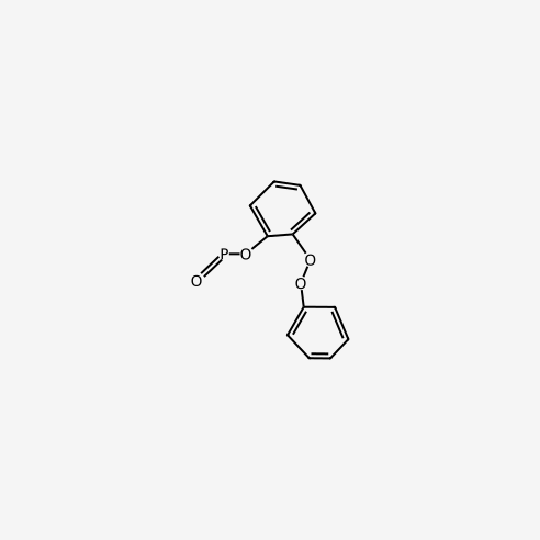 O=POc1ccccc1OOc1ccccc1